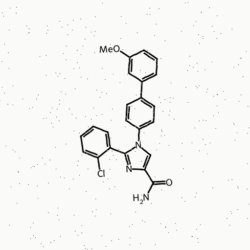 COc1cccc(-c2ccc(-n3cc(C(N)=O)nc3-c3ccccc3Cl)cc2)c1